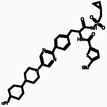 CCCC1CCC(C2CCN(c3cnc(-c4ccc(CC(NC(=O)c5ccc(C(C)(C)C)s5)C(=O)NS(=O)(=O)CC5CC5)cc4)nc3)CC2)CC1